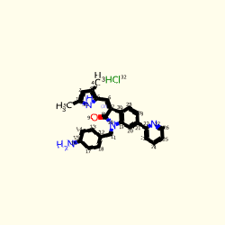 Cc1cc(C)c(/C=C2\C(=O)N(CC3CCC(N)CC3)c3cc(-c4ccccn4)ccc32)[nH]1.Cl